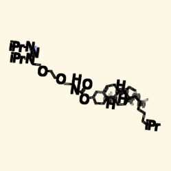 CC(C)CCC[C@@H](C)[C@H]1CC[C@H]2[C@@H]3CC=C4CC(OC(=O)NCCOCCOCCN(/N=N\C(C)C)C(C)C)CC[C@]4(C)[C@H]3CC[C@]12C